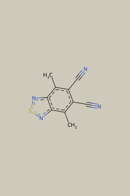 Cc1c(C#N)c(C#N)c(C)c2nsnc12